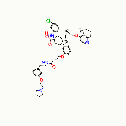 C[C@@H](COc1ccnc2c1[C@H](C)CCC2)C[C@H]1Cc2ccc(OCCCC(=O)NCCc3cccc(OCCN4CCCC4)c3)cc2C12CCC(Nc1cccc(Cl)c1)(C(=O)O)CC2